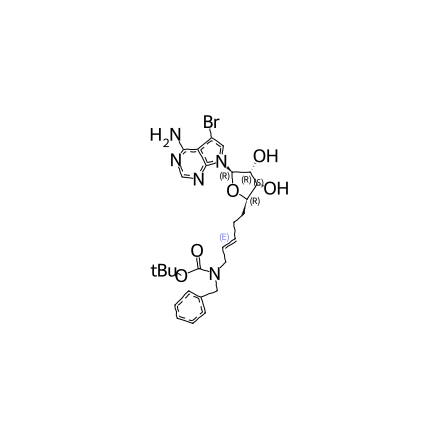 CC(C)(C)OC(=O)N(C/C=C/CC[C@H]1O[C@@H](n2cc(Br)c3c(N)ncnc32)[C@H](O)[C@@H]1O)Cc1ccccc1